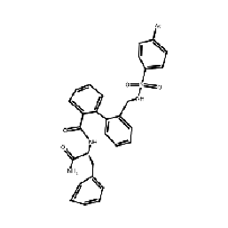 CC(=O)c1ccc(S(=O)(=O)NCc2ccccc2-c2ccccc2C(=O)N[C@@H](Cc2ccccc2)C(N)=O)cc1